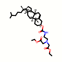 CCOC(=O)CN(CCNC(=O)O[C@H]1CC[C@@]2(C)C(=CC[C@H]3[C@@H]4CC[C@H]([C@H](C)CCCC(C)C)[C@@]4(C)CC[C@@H]32)C1)CC(=O)OCC